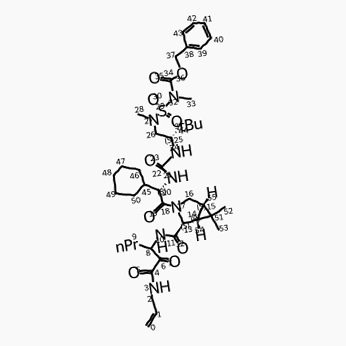 C=CCNC(=O)C(=O)C(CCC)NC(=O)[C@@H]1[C@@H]2[C@H](CN1C(=O)[C@@H](NC(=O)N[C@H](CN(C)S(=O)(=O)N(C)C(=O)OCc1ccccc1)C(C)(C)C)C1CCCCC1)C2(C)C